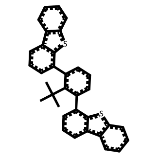 CC(C)(C)c1c(-c2cccc3c2sc2ccccc23)cccc1-c1cccc2c1sc1ccccc12